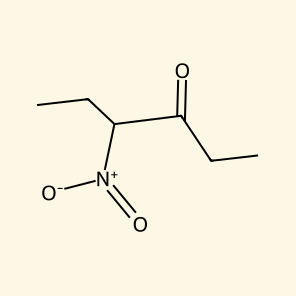 CCC(=O)C(CC)[N+](=O)[O-]